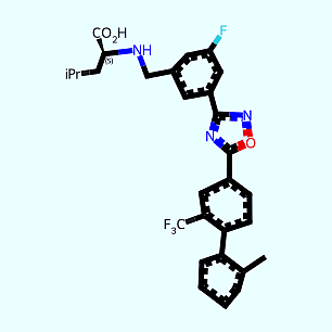 Cc1ccccc1-c1ccc(-c2nc(-c3cc(F)cc(CN[C@@H](CC(C)C)C(=O)O)c3)no2)cc1C(F)(F)F